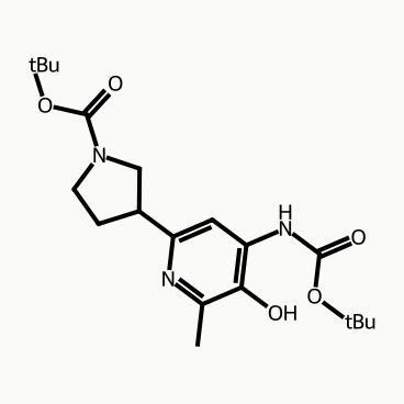 Cc1nc(C2CCN(C(=O)OC(C)(C)C)C2)cc(NC(=O)OC(C)(C)C)c1O